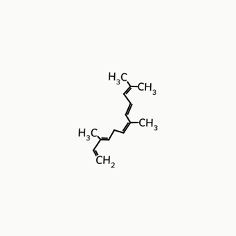 C=CC(C)=CCC=C(C)C=CC=C(C)C